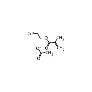 C=C(C)C(=O)OC[CH2][Cu+].CC(=O)[O-]